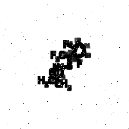 CC1(C)CC(SC(c2c(F)cccc2F)C(F)(F)F)=NO1